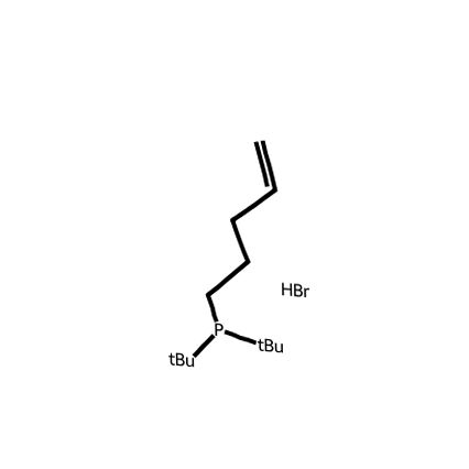 Br.C=CCCCP(C(C)(C)C)C(C)(C)C